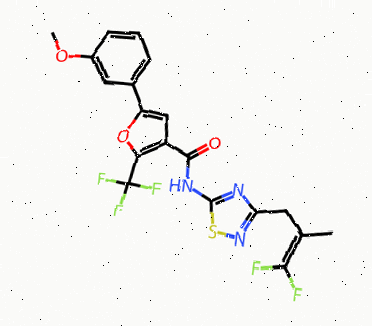 COc1cccc(-c2cc(C(=O)Nc3nc(CC(C)=C(F)F)ns3)c(C(F)(F)F)o2)c1